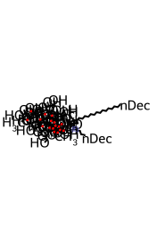 CCCCCCCCCCCCC/C=C/[C@@H](O)[C@H](CO[C@@H]1OC(CO)[C@@H](O[C@@H]2OC(CO)[C@H](O)[C@H](O[C@@H]3OC(CO)[C@@H](O[C@H]4OC(C)[C@@H](O)C(O)[C@@H]4O)[C@H](O[C@@H]4OC(CO)[C@H](O)[C@H](O[C@@H]5OC(CO)[C@@H](O[C@@H]6OC(CO)[C@H](O)[C@H](O)C6O[C@H]6OC(C)[C@@H](O)C(O)[C@@H]6O)[C@H](O[C@H]6OC(C)[C@@H](O)C(O)[C@@H]6O)C5NC(C)=O)C4O)C3NC(C)=O)C2O)[C@H](O)C1O)NC(=O)CCCCCCCCCCCCCCCCCCCCCCCCC